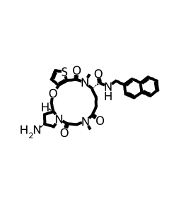 CN1CC(=O)N2C[C@H](N)C[C@H]2COc2ccsc2C(=O)N(C)[C@H](C(=O)NCc2ccc3ccccc3c2)CCC1=O